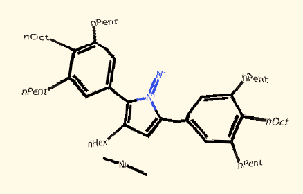 CCCCCCCCc1c(CCCCC)cc(C2=CC(CCCCCC)=C(c3cc(CCCCC)c(CCCCCCCC)c(CCCCC)c3)[N+]2=[N-])cc1CCCCC.[CH3][Ni][CH3]